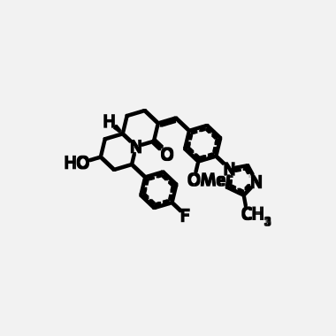 COc1cc(/C=C2/CC[C@H]3CC(O)CC(c4ccc(F)cc4)N3C2=O)ccc1-n1cnc(C)c1